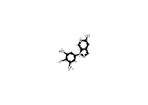 Oc1cc(-n2ncc3cc(Cl)ncc32)cc(C(F)(F)F)c1F